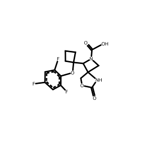 O=C1NC2(CO1)CN(C(=O)O)C2C1(Oc2c(F)cc(F)cc2F)CCC1